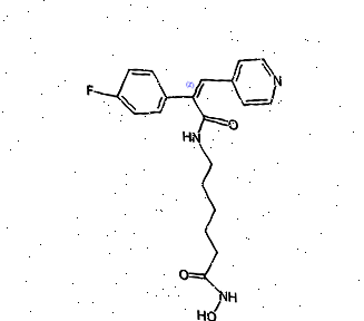 O=C(CCCCCNC(=O)/C(=C\c1ccncc1)c1ccc(F)cc1)NO